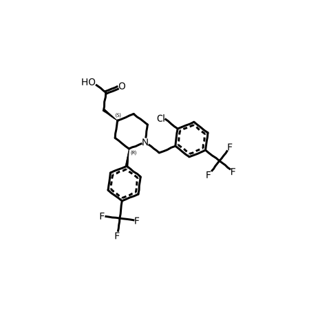 O=C(O)C[C@H]1CCN(Cc2cc(C(F)(F)F)ccc2Cl)[C@@H](c2ccc(C(F)(F)F)cc2)C1